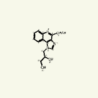 COc1nc2ccccc2c2c1ncn2CC(O)CO